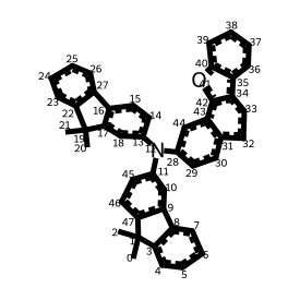 CC1(C)c2ccccc2-c2cc(N(c3ccc4c(c3)C(C)(C)c3ccccc3-4)c3ccc4ccc5c6ccccc6oc5c4c3)ccc21